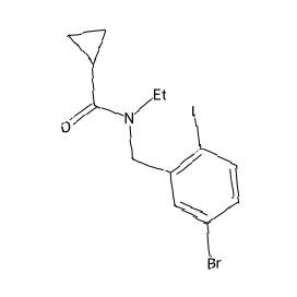 CCN(Cc1cc(Br)ccc1I)C(=O)C1CC1